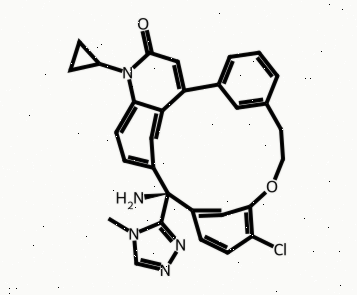 Cn1cnnc1[C@@]1(N)c2ccc(Cl)c(c2)OCCc2cccc(c2)-c2cc(=O)n(C3CC3)c3ccc1cc23